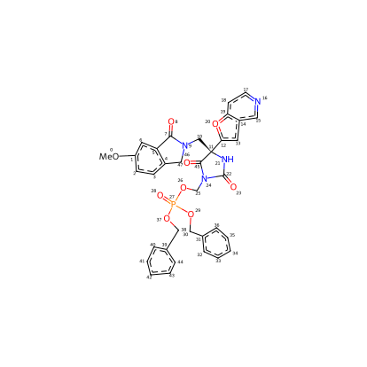 COc1ccc2c(c1)C(=O)N(C[C@@]1(c3cc4cnccc4o3)NC(=O)N(COP(=O)(OCc3ccccc3)OCc3ccccc3)C1=O)C2